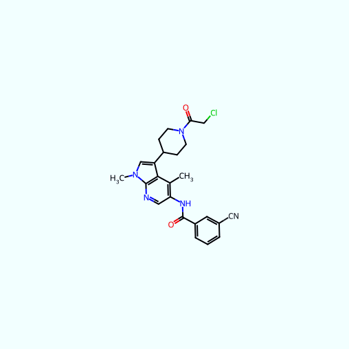 Cc1c(NC(=O)c2cccc(C#N)c2)cnc2c1c(C1CCN(C(=O)CCl)CC1)cn2C